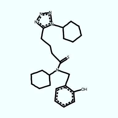 Oc1ccccc1CN(C(=S)CCCc1nnnn1C1CCCCC1)C1CCCCC1